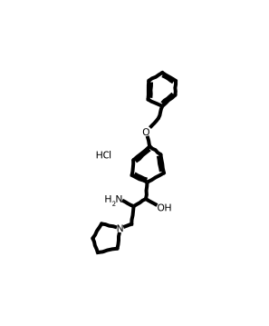 Cl.NC(CN1CCCC1)C(O)c1ccc(OCc2ccccc2)cc1